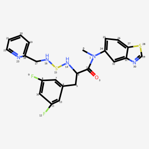 CN(C(=O)C(Cc1cc(F)cc(F)c1)NSNCc1ccccn1)c1ccc2scnc2c1